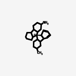 CC1CCC2C(C1)C1C=CC=CC1[C@]21C2CCCCC2C2CCC(N)CC21